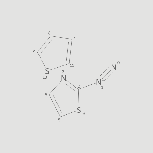 N#[N+]c1nccs1.c1ccsc1